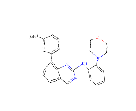 CC(=O)Nc1cccc(-c2cccc3cnc(Nc4ccccc4N4CCOCC4)nc23)c1